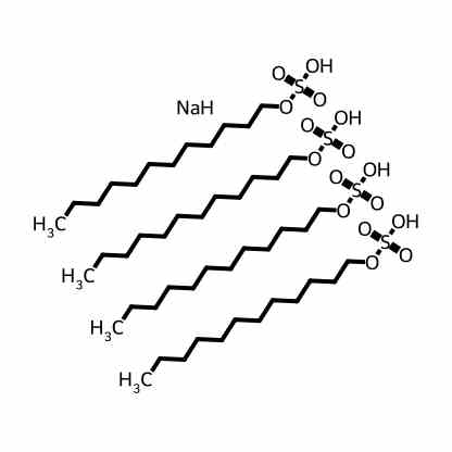 CCCCCCCCCCCCOS(=O)(=O)O.CCCCCCCCCCCCOS(=O)(=O)O.CCCCCCCCCCCCOS(=O)(=O)O.CCCCCCCCCCCCOS(=O)(=O)O.[NaH]